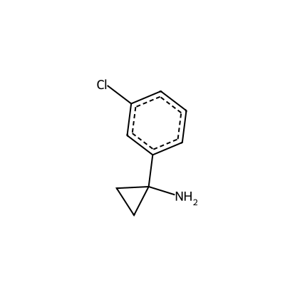 NC1(c2cccc(Cl)c2)CC1